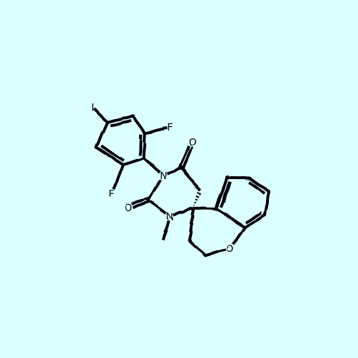 CN1C(=O)N(c2c(F)cc(I)cc2F)C(=O)C[C@]12CCOc1ccccc12